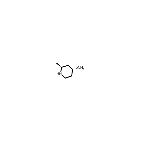 C[C@H]1C[C@H](N)CCN1